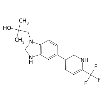 CC(C)(O)CN1CNc2cc(C3=CC=C(C(F)(F)F)NC3)ccc21